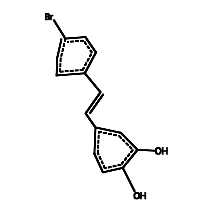 Oc1ccc(C=Cc2ccc(Br)cc2)cc1O